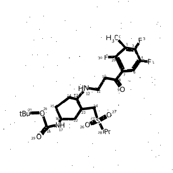 Cc1c(F)c(F)cc(C(=O)CCNC2CCC(NC(=O)OC(C)(C)C)CC2CS(=O)(=O)C(C)C)c1F